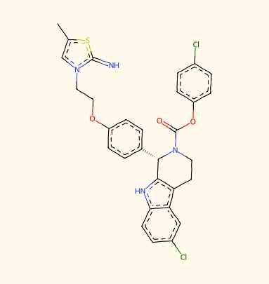 Cc1cn(CCOc2ccc([C@H]3c4[nH]c5ccc(Cl)cc5c4CCN3C(=O)Oc3ccc(Cl)cc3)cc2)c(=N)s1